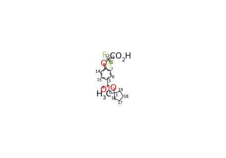 CC1(OC(=O)c2ccc(OC(F)(F)C(=O)O)cc2)CCCC1